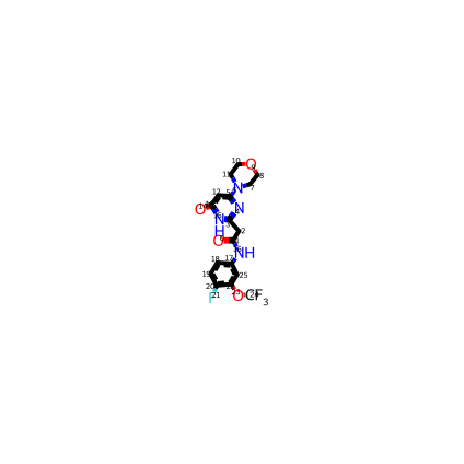 O=C(Cc1nc(N2CCOCC2)cc(=O)[nH]1)Nc1ccc(F)c(OC(F)(F)F)c1